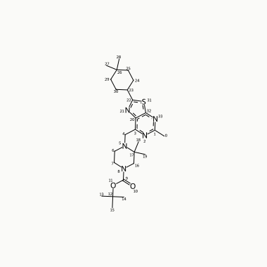 Cc1nc(CN2CCN(C(=O)OC(C)(C)C)CC2(C)C)c2nc(C3CCC(C)(C)CC3)sc2n1